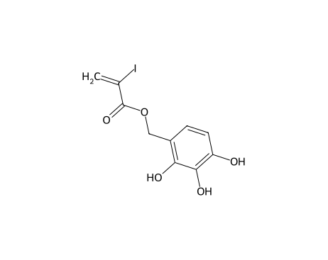 C=C(I)C(=O)OCc1ccc(O)c(O)c1O